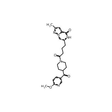 COc1ccc(C(=O)C2CCN(C(=O)CCCc3cn4nc(C)cc4c(=O)[nH]3)CC2)cn1